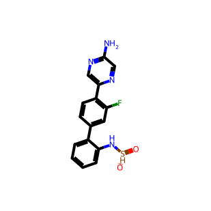 Nc1cnc(-c2ccc(-c3ccccc3N[SH](=O)=O)cc2F)cn1